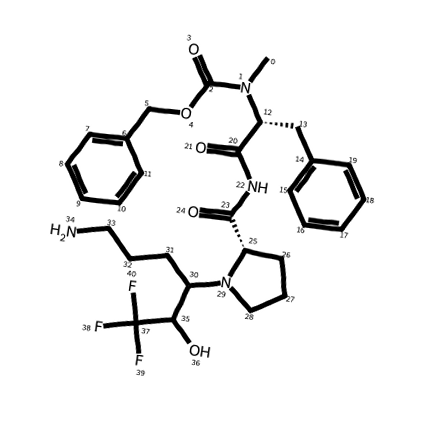 CN(C(=O)OCc1ccccc1)[C@H](Cc1ccccc1)C(=O)NC(=O)[C@@H]1CCCN1C(CCCN)C(O)C(F)(F)F